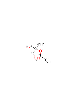 CCCC(CO)(CO)OCC(F)(F)F